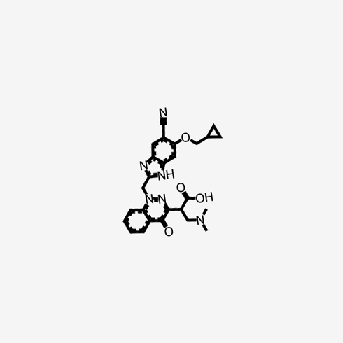 CN(C)CC(C(=O)O)c1nn(Cc2nc3cc(C#N)c(OCC4CC4)cc3[nH]2)c2ccccc2c1=O